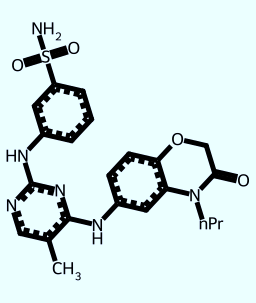 CCCN1C(=O)COc2ccc(Nc3nc(Nc4cccc(S(N)(=O)=O)c4)ncc3C)cc21